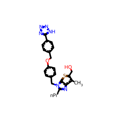 CCCc1nc2c(C)c(CO)sc2n1Cc1ccc(OCc2ccc(-c3nnn[nH]3)cc2)cc1